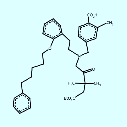 CCOC(=O)CC(C)(C)C(=O)CN(CCc1ccccc1OCCCCCc1ccccc1)Cc1ccc(C(=O)O)c(C)c1